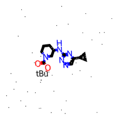 CC(C)(C)OC(=O)N1CCCC(Nc2nncc(C3CC3)n2)C1